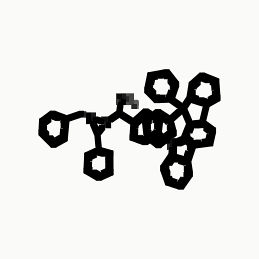 NC(c1ccc(-n2c3ccccc3c3ccc4c(c32)C(c2ccccc2)(c2ccccc2)c2ccccc2-4)cc1)N1C(c2ccccc2)[N@]1Cc1ccccc1